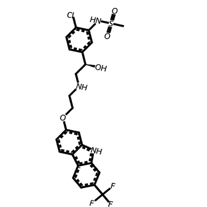 CS(=O)(=O)Nc1cc([C@@H](O)CNCCOc2ccc3c(c2)[nH]c2cc(C(F)(F)F)ccc23)ccc1Cl